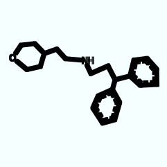 c1ccc(C(CCNCCC2CCOCC2)c2ccccc2)cc1